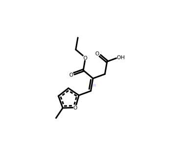 CCOC(=O)/C(=C\c1ccc(C)o1)CC(=O)O